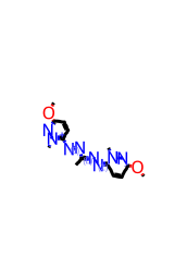 COc1cc/c(=N/N=C(C)/N=N/c2ccc(OC)n[n+]2C)n(C)n1